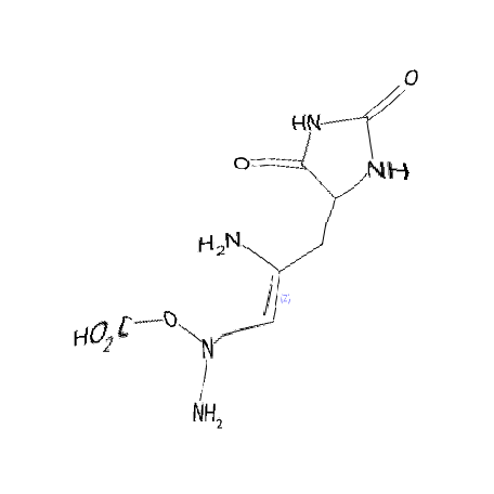 N/C(=C\N(N)OC(=O)O)CC1NC(=O)NC1=O